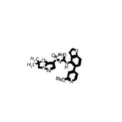 COc1cc(-c2ccc3c(c2NC(=O)N=[S@@](N)(=O)c2cnn4c2OC(C)(C)C4)CCO3)ccn1